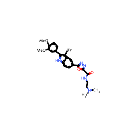 COc1ccc(-c2[nH]c3ccc(-c4nnc(C(=O)NCCN(C)C)o4)cc3c2C(C)C)cc1OC